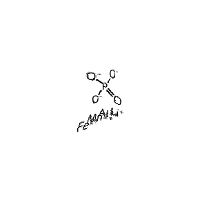 O=P([O-])([O-])[O-].[Al+3].[Fe+2].[Li+].[Mn+2]